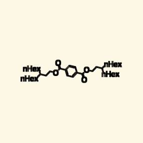 CCCCCCC(CCCCCC)CCOC(=O)c1ccc(C(=O)OCCC(CCCCCC)CCCCCC)cc1